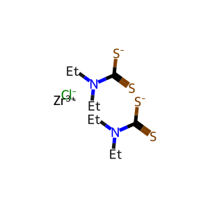 CCN(CC)C(=S)[S-].CCN(CC)C(=S)[S-].[Cl-].[Zr+3]